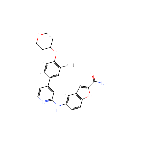 N#Cc1cc(-c2ccnc(Nc3ccc4oc(C(N)=O)cc4c3)c2)ccc1OC1CCOCC1